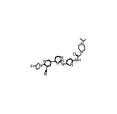 CC(C)N1CCN(CC(=O)Nc2ccc(Nc3nccc(-c4cnc(N5CCC(F)C5)c(C#N)c4)n3)cn2)CC1